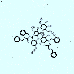 CC([C@@H]1CC[C@@H](N=[N+]=[N-])[C@@H](O[C@@H]2[C@@H](NC(=O)OCc3ccccc3)[C@H](OCc3ccccc3)[C@@H](N)[C@H](O)[C@H]2O[C@@H]2O[C@H](CO)[C@@H](O[C@H]3O[C@@H](CN=[N+]=[N-])[C@@H](O)[C@H](O)[C@H]3N=[N+]=[N-])[C@H]2O)O1)N(Cc1ccccc1)C(=O)OCc1ccccc1